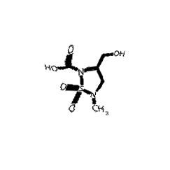 CN1CC(CO)N(C(=O)O)S1(=O)=O